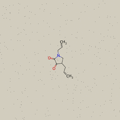 C=CCC1CN(CC=C)C(=O)C1=O